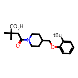 CC(C)(CC(=O)N1CCC(COc2ccccc2C(C)(C)C)CC1)C(=O)O